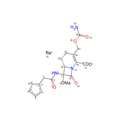 COC1(NC(=O)Cc2cccs2)C(=O)N2C(C(=O)[O-])=C(COC(N)=O)CSC21.[Na+]